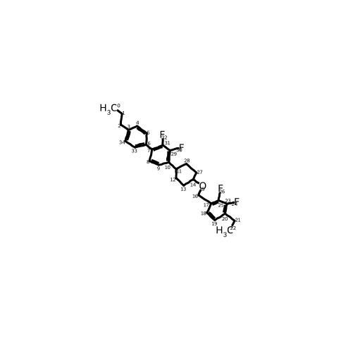 CCCc1ccc(-c2ccc(C3CCC(OCc4ccc(CC)c(F)c4F)CC3)c(F)c2F)cc1